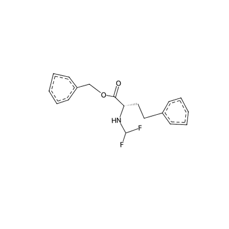 O=C(OCc1ccccc1)[C@H](CCc1ccccc1)NC(F)F